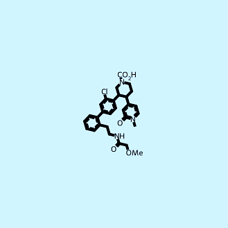 COCC(=O)NCCc1ccccc1-c1ccc(C2CN(C(=O)O)CCC2c2ccn(C)c(=O)c2)c(Cl)c1